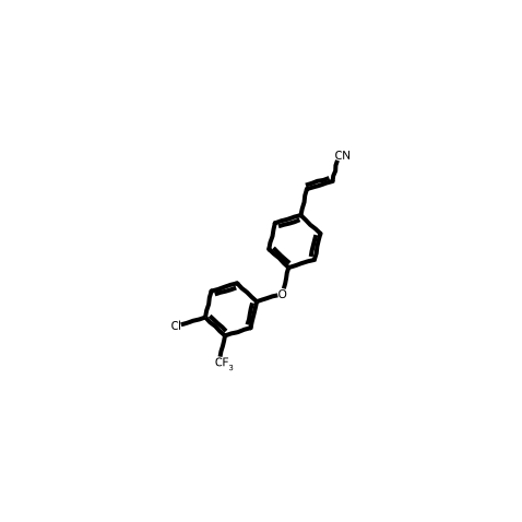 N#CC=Cc1ccc(Oc2ccc(Cl)c(C(F)(F)F)c2)cc1